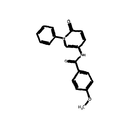 COc1ccc(C(=O)Nc2ccc(=O)n(-c3ccccc3)c2)cc1